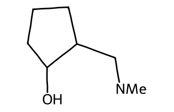 CNCC1CCCC1O